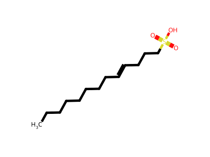 CCCCCCCCC=CCCCS(=O)(=O)O